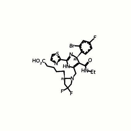 CCNC(=O)C1=C(CN2CC(F)(F)C[C@H]2CCCCC(=O)O)NC(c2nccs2)=N[C@H]1c1ccc(F)cc1Br